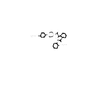 COc1ccc(N2CCN(C(=O)c3nn(-c4ccccc4OC)c(=O)c4ccccc34)CC2)cc1